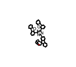 c1ccc2c(c1)-c1ccc(-c3nc(-c4cccc5c4oc4ccccc45)nc(-c4cccc5c4oc4ccccc45)n3)cc1C21C2CC3CC(C2)CC1C3